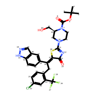 CC(C)(C)OC(=O)N1CCN(C2=NC(=O)C(=C(Cc3ccc(Cl)cc3C(F)(F)F)c3ccc4[nH]ncc4c3)S2)C[C@H]1CO